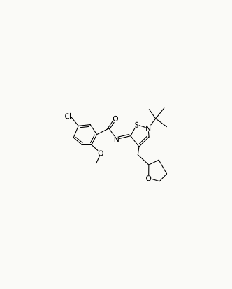 COc1ccc(Cl)cc1C(=O)/N=c1\sn(C(C)(C)C)cc1CC1CCCO1